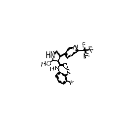 O=C(Nc1cccc(F)c1F)C1C(O)NCC1c1ccc(C(F)(F)F)nc1